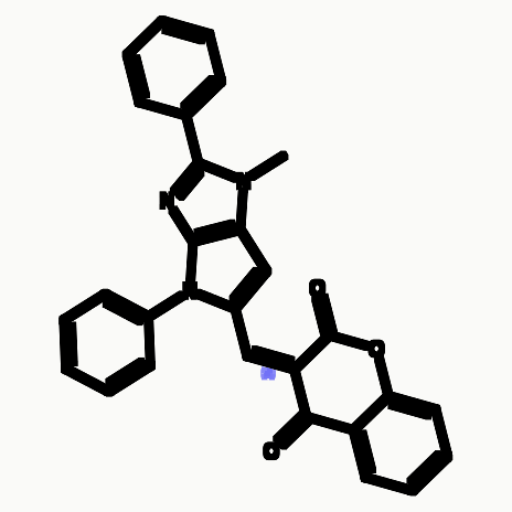 Cn1c(-c2ccccc2)nc2c1cc(/C=C1\C(=O)Oc3ccccc3C1=O)n2-c1ccccc1